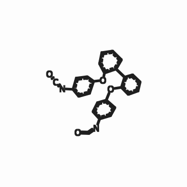 O=C=Nc1ccc(Oc2ccccc2-c2ccccc2Oc2ccc(N=C=O)cc2)cc1